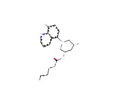 C[C@H]1C[C@@H](NC(=O)CCCCN)CN(c2ccc(C#N)c3ncccc23)C1